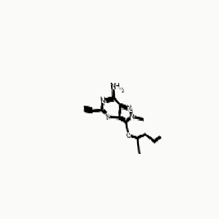 C#Cc1nc(N)c2nn(C)c(OC(C)CCC)c2n1